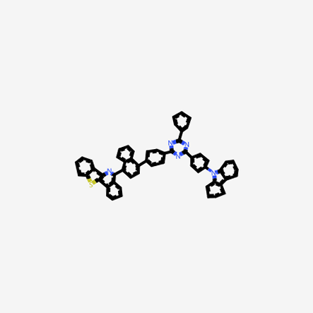 c1ccc(-c2nc(-c3ccc(-c4ccc(-c5nc6c7ccccc7sc6c6ccccc56)c5ccccc45)cc3)nc(-c3ccc(-n4c5ccccc5c5ccccc54)cc3)n2)cc1